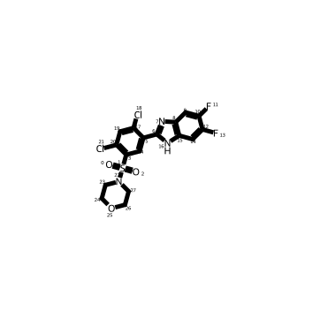 O=S(=O)(c1cc(-c2nc3cc(F)c(F)cc3[nH]2)c(Cl)cc1Cl)N1CCOCC1